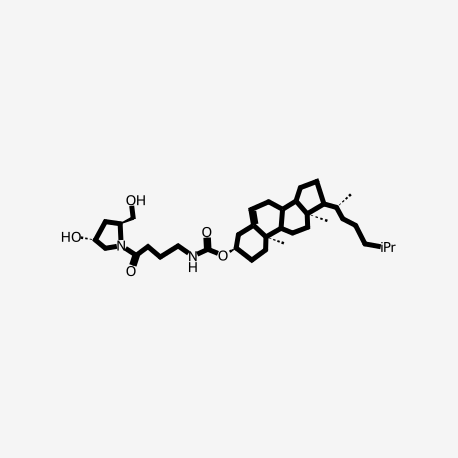 CC(C)CCC[C@@H](C)C1CCC2C3CC=C4C[C@@H](OC(=O)NCCCC(=O)N5C[C@H](O)C[C@H]5CO)CC[C@]4(C)C3CC[C@@]21C